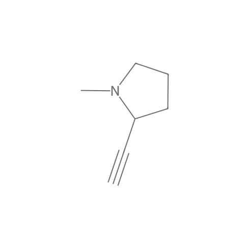 C#CC1CCCN1C